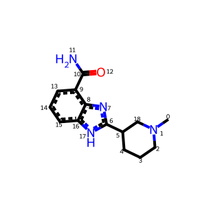 CN1CCCC(c2nc3c(C(N)=O)cccc3[nH]2)C1